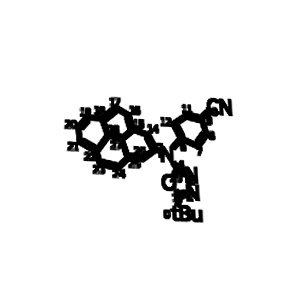 CC(C)(C)c1nnc(N(c2ccc(C#N)cc2)c2cc3ccc4cccc5ccc(c2)c3c45)o1